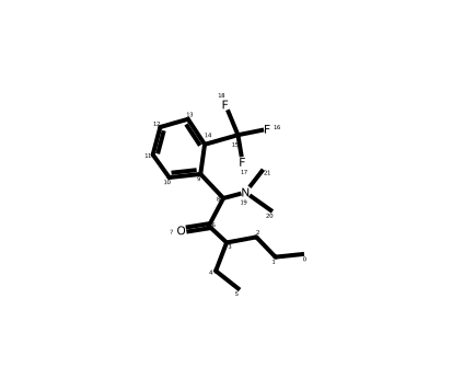 CCCC(CC)C(=O)C(c1ccccc1C(F)(F)F)N(C)C